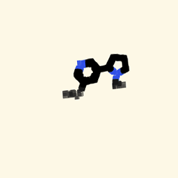 CCCCN1CCCC1c1cncc(C(=O)OCC)c1